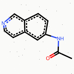 CC(=O)Nc1ccc2cnccc2c1